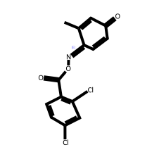 CC1=CC(=O)C=C/C1=N\OC(=O)c1ccc(Cl)cc1Cl